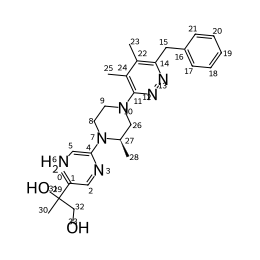 C=C(/C=N\C(=C/N)N1CCN(c2nnc(Cc3ccccc3)c(C)c2C)C[C@H]1C)C(C)(O)CO